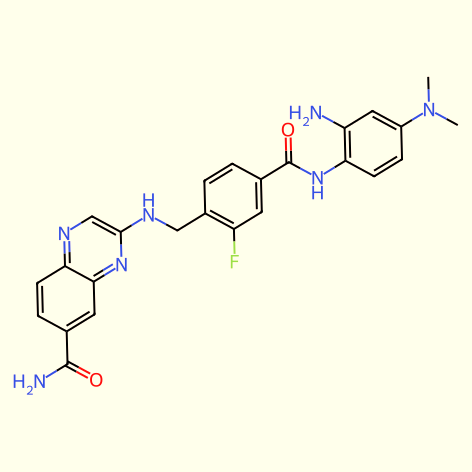 CN(C)c1ccc(NC(=O)c2ccc(CNc3cnc4ccc(C(N)=O)cc4n3)c(F)c2)c(N)c1